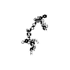 CN1CCC(CNCC(=O)Nc2cc(-c3ccccc3)cnc2C(=O)NCCOCCOCCC(=O)N2CCN(CC[C@H](NC(=O)C3(N)CCN(c4ncnc5[nH]ccc45)CC3)c3ccc(Cl)cc3)CC2)CC1=O